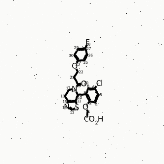 O=C(O)COc1ccc(Cl)cc1C1c2scnc2CCN1C(=O)CCOc1ccc(F)cc1